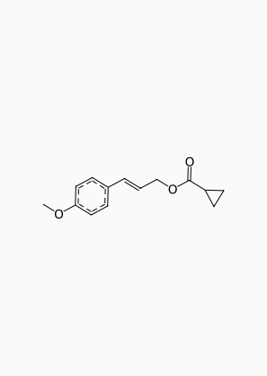 COc1ccc(/C=C/COC(=O)C2CC2)cc1